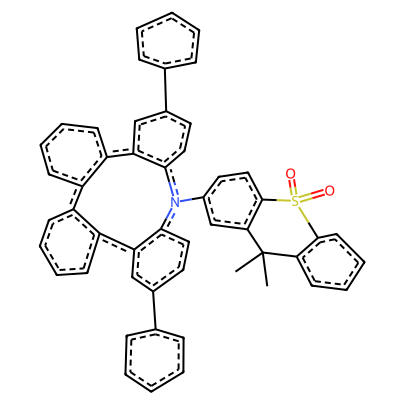 CC1(C)c2ccccc2S(=O)(=O)c2ccc(-n3c4ccc(-c5ccccc5)cc4c4ccccc4c4ccccc4c4cc(-c5ccccc5)ccc43)cc21